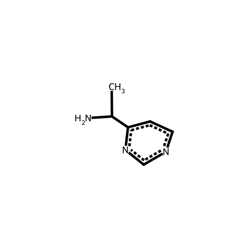 CC(N)c1ccncn1